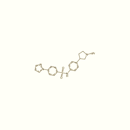 CCCN1CCC(c2ccc(NS(=O)(=O)c3ccc(-n4cccn4)cc3)cc2)C1